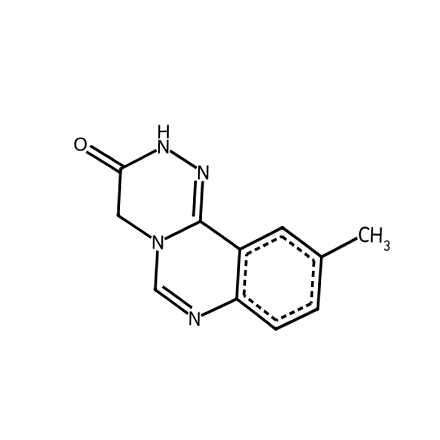 Cc1ccc2c(c1)C1=NNC(=O)CN1C=N2